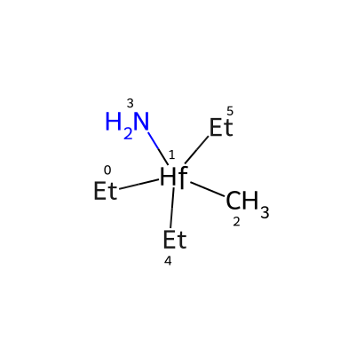 C[CH2][Hf]([CH3])([NH2])([CH2]C)[CH2]C